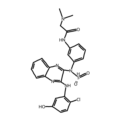 CN(C)CC(=O)Nc1cccc(N(c2nc3ccccc3nc2Nc2cc(O)ccc2Cl)[SH](=O)=O)c1